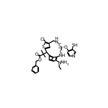 CCN(N)c1ccc2c(C)c1NC[C@@H](Oc1ccncc1S)CNCc1cc(sc1Cl)C2C(C)(C)C(=O)OCc1ccccc1